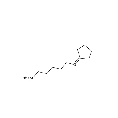 [CH2]CCCCCCCCCCCN=C1CCCC1